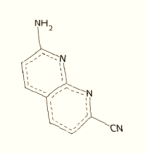 N#Cc1ccc2ccc(N)nc2n1